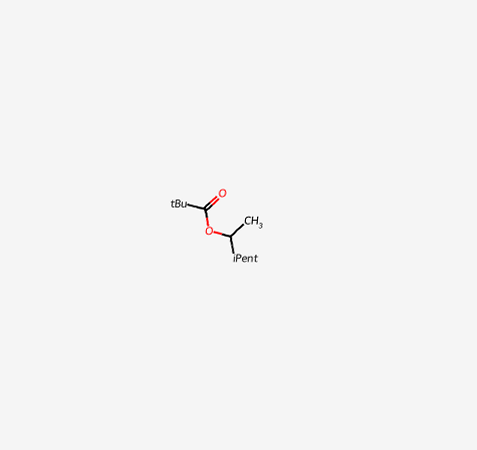 CCCC(C)C(C)OC(=O)C(C)(C)C